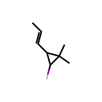 C/C=C/C1C(I)C1(C)C